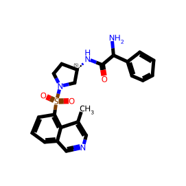 Cc1cncc2cccc(S(=O)(=O)N3CC[C@H](NC(=O)C(N)c4ccccc4)C3)c12